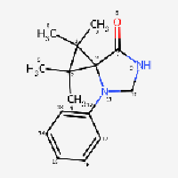 CC1(C)C(C)(C)C12C(=O)NCN2c1ccccc1